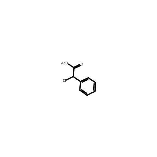 [CH2]C(=O)OC(=O)C(Cl)c1ccccc1